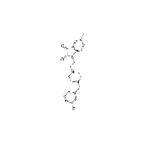 Cc1ccc2c(c1)C(=O)C(=O)N2CCN1CCN(Cc2cccc(F)c2)CC1